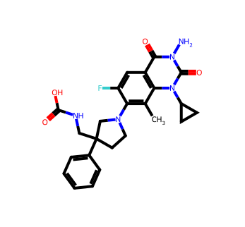 Cc1c(N2CCC(CNC(=O)O)(c3ccccc3)C2)c(F)cc2c(=O)n(N)c(=O)n(C3CC3)c12